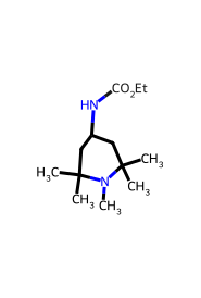 CCOC(=O)NC1CC(C)(C)N(C)C(C)(C)C1